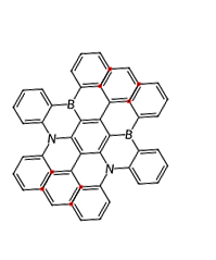 c1ccc(B2c3ccccc3N(c3ccccc3)c3c2c(-c2ccccc2)c2c(c3-c3ccccc3)N(c3ccccc3)c3ccccc3B2c2ccccc2)cc1